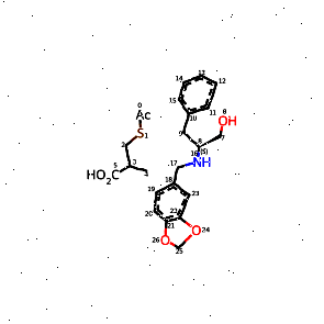 CC(=O)SCC(C)C(=O)O.OC[C@H](Cc1ccccc1)NCc1ccc2c(c1)OCO2